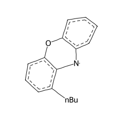 CCCCc1cccc2c1[N]c1ccccc1O2